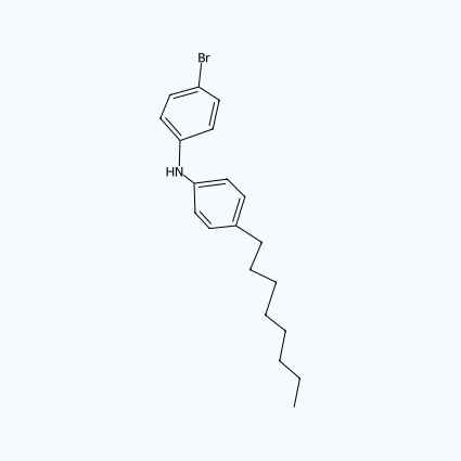 CCCCCCCCc1ccc(Nc2ccc(Br)cc2)cc1